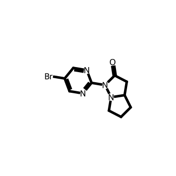 O=C1CC2CCCN2N1c1ncc(Br)cn1